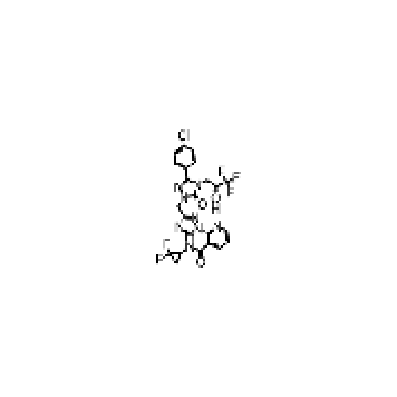 O=C(NC1CC1(F)F)c1cccnc1-n1cnc(Cn2nc(-c3ccc(Cl)cc3)n(C[C@H](O)C(F)(F)F)c2=O)n1